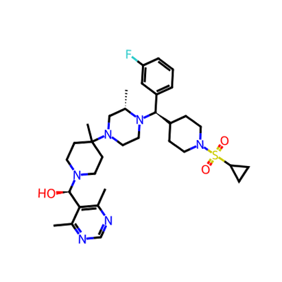 Cc1ncnc(C)c1[C@@H](O)N1CCC(C)(N2CCN([C@@H](c3cccc(F)c3)C3CCN(S(=O)(=O)C4CC4)CC3)[C@@H](C)C2)CC1